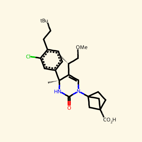 COC[C@@H](C)C1=CN(C23CCC(C(=O)O)(C2)C3)C(=O)N[C@@]1(C)c1ccc(CCC(C)(C)C)c(Cl)c1